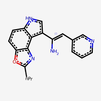 CCCc1nc2c(ccc3[nH]cc(/C(N)=C/c4cccnc4)c32)o1